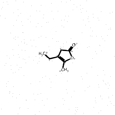 CCC1=C(C)OC(=O)C1